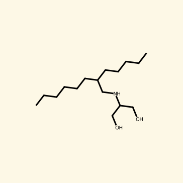 CCCCCCC(CCCCC)CNC(CO)CO